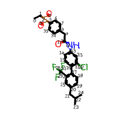 CCS(=O)(=O)c1ccc(CC(=O)Nc2ccc(-c3ccc(CC(C)C)cc3C(F)(F)F)c(Cl)c2)cc1